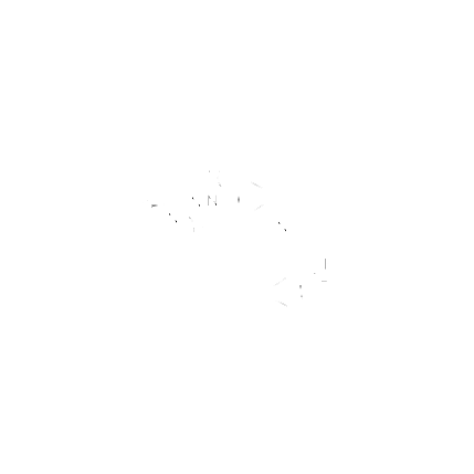 O=C1CCN(N2Cc3cc(CN4CCC(c5ccccc5C(F)(F)F)CC4)ccc3C2=O)C(=O)N1